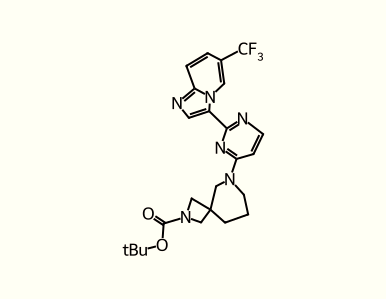 CC(C)(C)OC(=O)N1CC2(CCCN(c3ccnc(-c4cnc5ccc(C(F)(F)F)cn45)n3)C2)C1